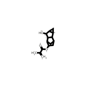 C=C(C)C(=O)OC1CC2CC1C1C(O)C3CC3C21